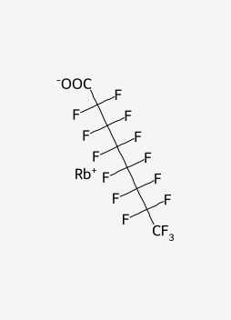 O=C([O-])C(F)(F)C(F)(F)C(F)(F)C(F)(F)C(F)(F)C(F)(F)C(F)(F)F.[Rb+]